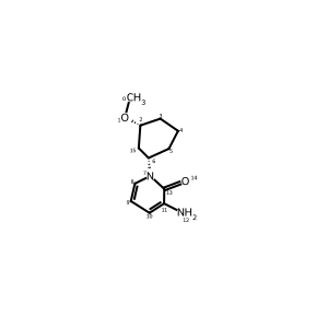 CO[C@@H]1CCC[C@H](n2cccc(N)c2=O)C1